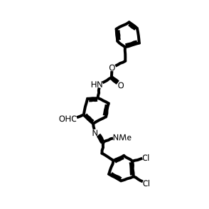 CN/C(Cc1ccc(Cl)c(Cl)c1)=N\c1ccc(NC(=O)OCc2ccccc2)cc1C=O